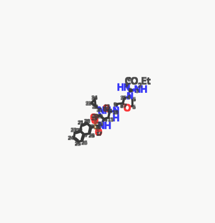 CCOC(=O)NC(=N)N1CCOC(CNC(=O)CC(NS(=O)(=O)c2ccc3ccccc3c2)C(=O)NC2CC2)C1